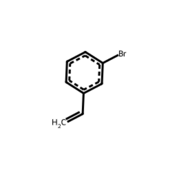 C=Cc1cccc(Br)c1